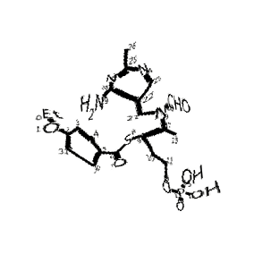 CCOc1ccc(C(=O)S/C(CCOP(=O)(O)O)=C(/C)N(C=O)Cc2cnc(C)nc2N)cc1